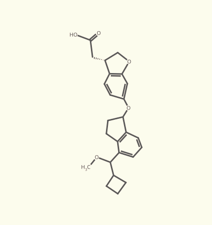 COC(c1cccc2c1CCC2Oc1ccc2c(c1)OC[C@H]2CC(=O)O)C1CCC1